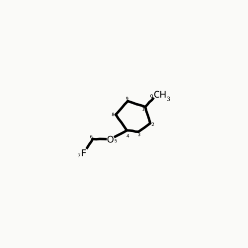 CC1CCC(OCF)CC1